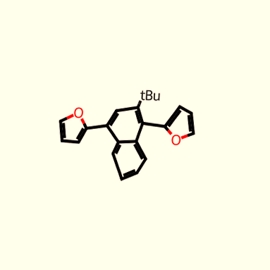 CC(C)(C)c1cc(-c2ccco2)c2ccccc2c1-c1ccco1